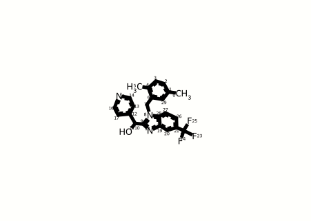 Cc1ccc(C)c(Cn2c(C(O)c3ccncc3)nc3cc(C(F)(F)F)ccc32)c1